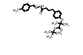 Cc1ccc(/C=N/NC(=O)CCCc2ccc(OC(C)(C)C(=O)OC(C)(C)C)cc2)cc1